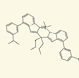 CCCC1(CCC)C2=Cc3c(-c4cccc(C(C)C)c4)cccc3[CH]2[Hf]([CH3])([CH3])[CH]2C1=Cc1c(-c3cccc(C(C)C)c3)cccc12